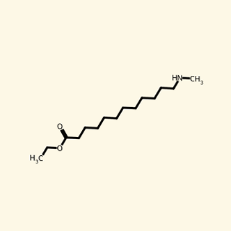 CCOC(=O)CCCCCCCCCCCNC